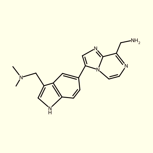 CN(C)Cc1c[nH]c2ccc(-c3cnc4c(CN)nccn34)cc12